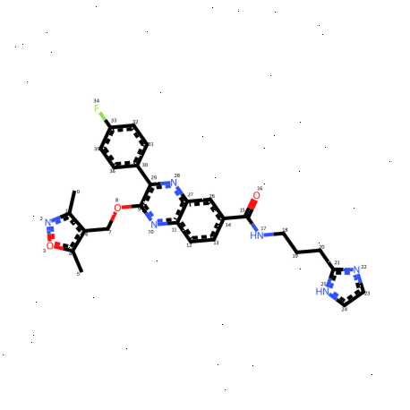 Cc1noc(C)c1COc1nc2ccc(C(=O)NCCCc3ncc[nH]3)cc2nc1-c1ccc(F)cc1